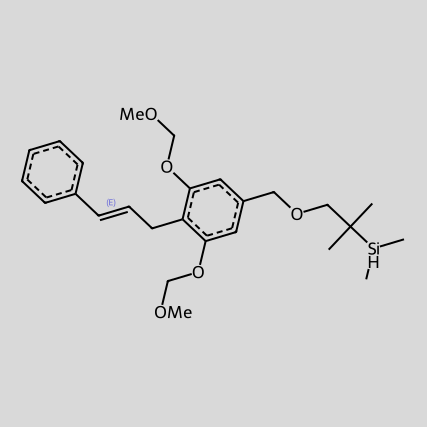 COCOc1cc(COCC(C)(C)[SiH](C)C)cc(OCOC)c1C/C=C/c1ccccc1